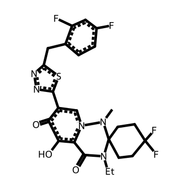 CCN1C(=O)c2c(O)c(=O)c(-c3nnc(Cc4ccc(F)cc4F)s3)cn2N(C)C12CCC(F)(F)CC2